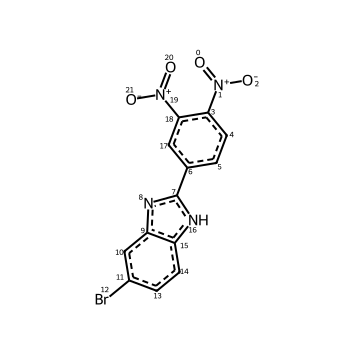 O=[N+]([O-])c1ccc(-c2nc3cc(Br)ccc3[nH]2)cc1[N+](=O)[O-]